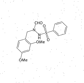 COc1ccc(CN(C=O)NS(=O)(=O)c2ccccc2)c(OC)c1